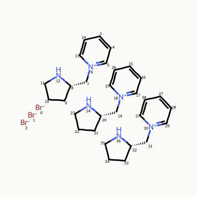 [Br-].[Br-].[Br-].c1cc[n+](C[C@@H]2CCCN2)cc1.c1cc[n+](C[C@@H]2CCCN2)cc1.c1cc[n+](C[C@@H]2CCCN2)cc1